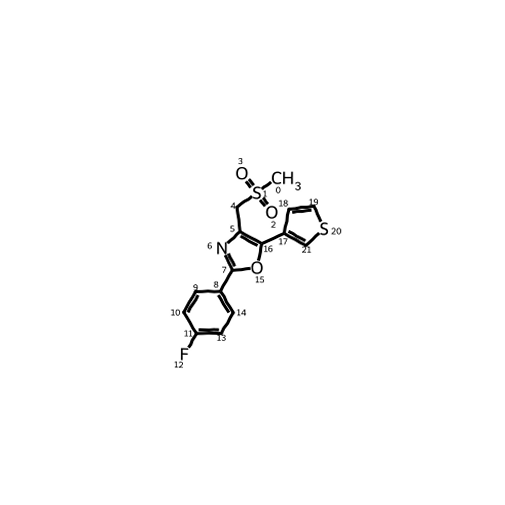 CS(=O)(=O)Cc1nc(-c2ccc(F)cc2)oc1-c1ccsc1